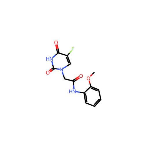 COc1ccccc1NC(=O)Cn1cc(F)c(=O)[nH]c1=O